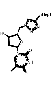 CCCCCCCc1cn(C[C@H]2O[C@@H](n3cc(C)c(=O)[nH]c3=O)CC2O)nn1